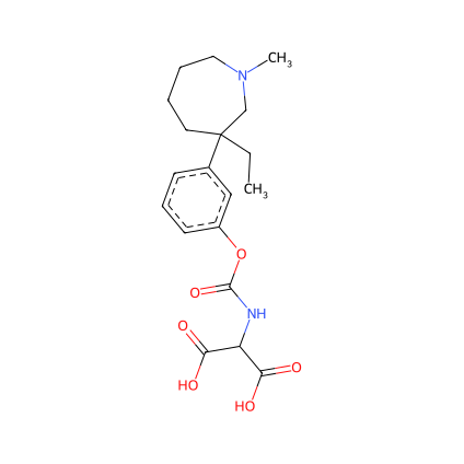 CCC1(c2cccc(OC(=O)NC(C(=O)O)C(=O)O)c2)CCCCN(C)C1